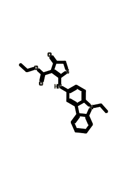 CCOC(=O)C1=C(Nc2ccc3c(c2)c2ccccc2n3CC)SCC1=O